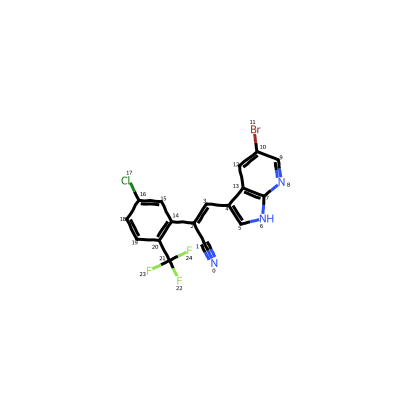 N#CC(=Cc1c[nH]c2ncc(Br)cc12)c1cc(Cl)ccc1C(F)(F)F